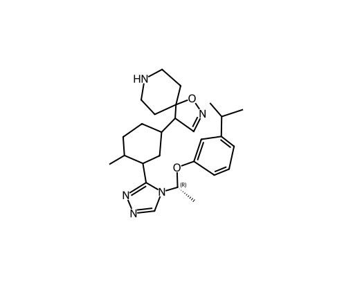 CC(C)c1cccc(O[C@H](C)n2cnnc2C2CC(C3C=NOC34CCNCC4)CCC2C)c1